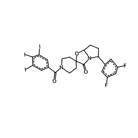 O=C(c1cc(I)c(I)c(I)c1)N1CCC2(CC1)OC1CCC(c3cc(F)cc(F)c3)N1C2=O